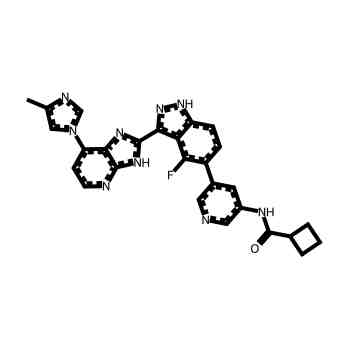 Cc1cn(-c2ccnc3[nH]c(-c4n[nH]c5ccc(-c6cncc(NC(=O)C7CCC7)c6)c(F)c45)nc23)cn1